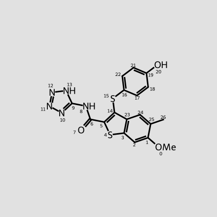 COc1cc2sc(C(=O)Nc3nnn[nH]3)c(Sc3ccc(O)cc3)c2cc1C